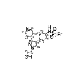 CC(C)S(=O)(=O)Nc1ccc(-c2cn(CCO)nc2-c2ccncc2)cc1